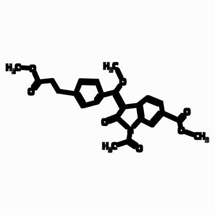 COC(=O)CCc1ccc(C(OC)=C2C(=O)N(C(C)=O)c3cc(C(=O)OC)ccc32)cc1